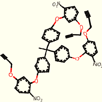 C#CCOc1ccc([N+](=O)[O-])c(Oc2ccc(C(C)(c3ccc(Oc4cc(OCC#C)ccc4[N+](=O)[O-])cc3)c3ccc(Oc4cc(OCC#C)ccc4[N+](=O)[O-])cc3)cc2)c1